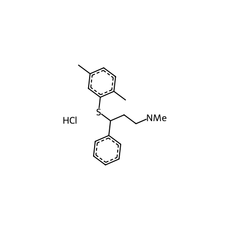 CNCCC(Sc1cc(C)ccc1C)c1ccccc1.Cl